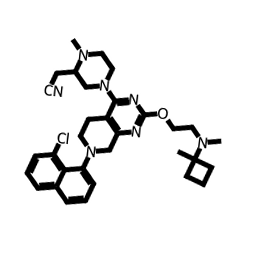 CN1CCN(c2nc(OCCN(C)C3(C)CCC3)nc3c2CCN(c2cccc4cccc(Cl)c24)C3)CC1CC#N